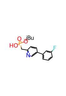 CCC(C)OP(=O)(O)Cc1ccc(-c2cccc(F)c2)cn1